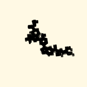 CC(=O)c1ccc(-n2cnc3ccc(N/C(N)=C/C=C(/C)N)cc32)nc1-n1nc(C(F)(F)P)c2c1CCN(C(=O)OC(C)(C)C)C2